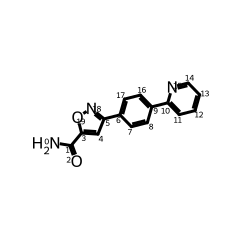 NC(=O)c1cc(-c2ccc(-c3ccccn3)cc2)no1